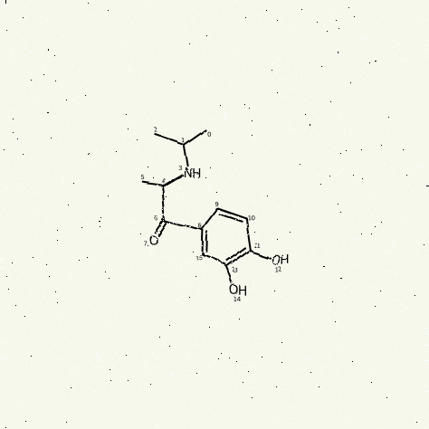 CC(C)NC(C)C(=O)c1ccc(O)c(O)c1